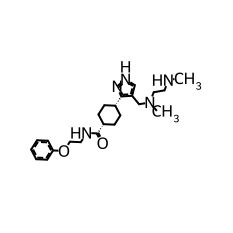 CNCCN(C)Cc1c[nH]nc1[C@H]1CC[C@@H](C(=O)NCCOc2ccccc2)CC1